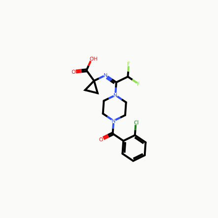 O=C(c1ccccc1Cl)N1CCN(C(=NC2(C(=O)O)CC2)C(F)F)CC1